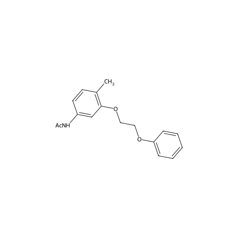 CC(=O)Nc1ccc(C)c(OCCOc2ccccc2)c1